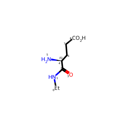 [CH2]CNC(=O)[C@@H](N)CCC(=O)O